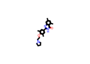 Cc1cc(C)c2c(=O)[nH]c(-c3cc(C)c(OCCN4CCCC4)c(C)c3)nc2c1